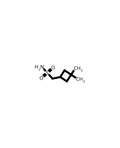 CC1(C)CC(CS(N)(=O)=O)C1